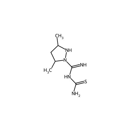 CC1CC(C)N(C(=N)NC(N)=S)N1